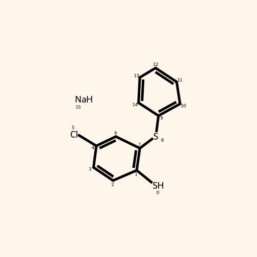 Sc1ccc(Cl)cc1Sc1ccccc1.[NaH]